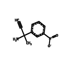 C#CC(C)(N)c1cccc([N+](=O)[O-])c1